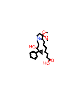 COC1(OC)CCN(CCC(O)C2(c3ccccc3)CC2)C1CC=CCCCC(=O)O